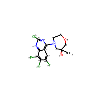 CC1(O)COCCN(c2nc(Cl)nc3c(F)c(Br)c(F)cc23)C1